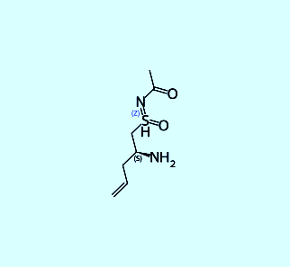 C=CC[C@H](N)C/[SH](=O)=N/C(C)=O